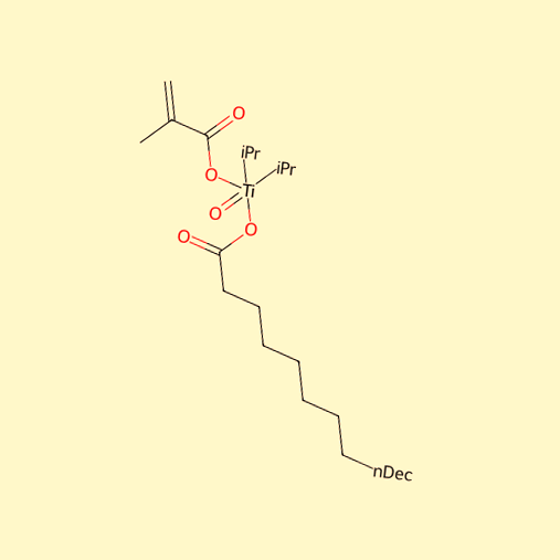 C=C(C)C(=O)[O][Ti](=[O])([O]C(=O)CCCCCCCCCCCCCCCCC)([CH](C)C)[CH](C)C